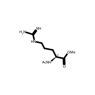 COC(=O)[C@H](CCCNC(=N)N)NC(C)=O